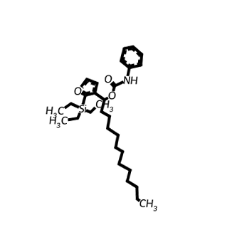 CCCCCCCCCCCCC(OC(=O)Nc1ccccc1)c1ccoc1[Si](CC)(CC)CC